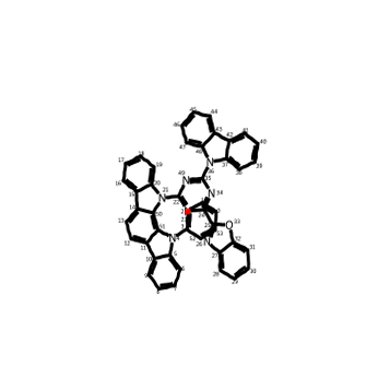 c1ccc(-n2c3ccccc3c3ccc4c5ccccc5n(-c5nc(-c6nc7ccccc7o6)nc(-n6c7ccccc7c7ccccc76)n5)c4c32)cc1